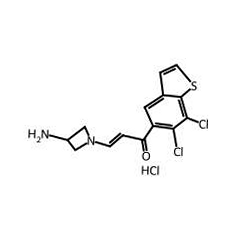 Cl.NC1CN(C=CC(=O)c2cc3ccsc3c(Cl)c2Cl)C1